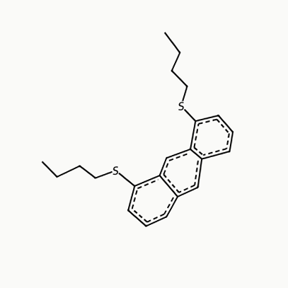 CCCCSc1cccc2cc3cccc(SCCCC)c3cc12